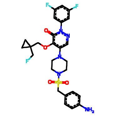 Nc1ccc(CS(=O)(=O)N2CCN(c3cnn(-c4cc(F)cc(F)c4)c(=O)c3OCC3(CF)CC3)CC2)cc1